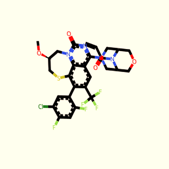 C=CC(=O)N1C2COCC1CN(c1nc(=O)n3c4c(c(-c5cc(Cl)c(F)cc5F)c(C(F)(F)F)cc14)SC[C@@H](OC)C3)C2